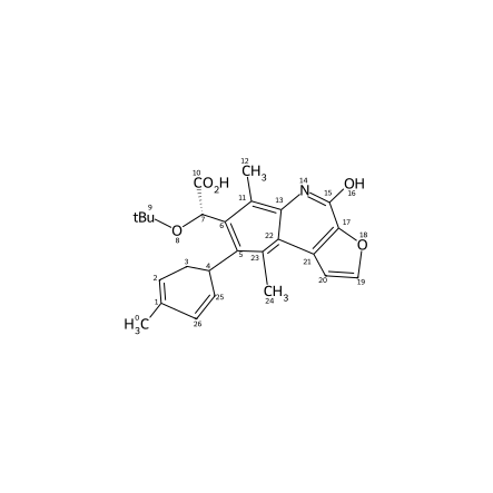 CC1=CCC(c2c([C@H](OC(C)(C)C)C(=O)O)c(C)c3nc(O)c4occc4c3c2C)C=C1